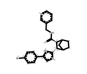 O=C(NCc1cccnc1)[C@H]1C2CCC(C2)[C@@H]1c1ncc(-c2ccc(Br)cc2)[nH]1